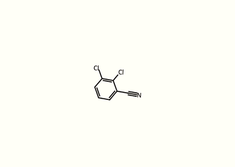 N#Cc1cccc(Cl)c1Cl